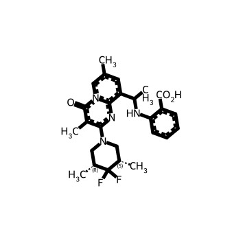 Cc1cc(C(C)Nc2ccccc2C(=O)O)c2nc(N3C[C@@H](C)C(F)(F)[C@@H](C)C3)c(C)c(=O)n2c1